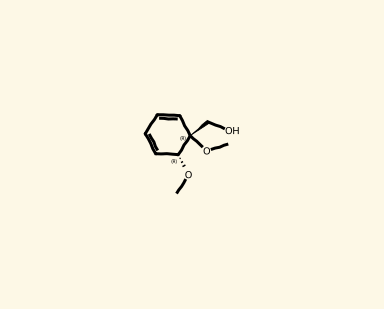 CO[C@@H]1C=CC=C[C@]1(CO)OC